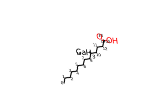 CCCCCCCCCCCCCC(=O)O.[GaH3]